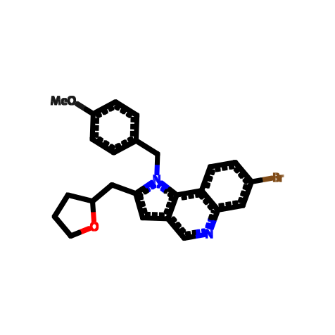 COc1ccc(Cn2c(CC3CCCO3)cc3cnc4cc(Br)ccc4c32)cc1